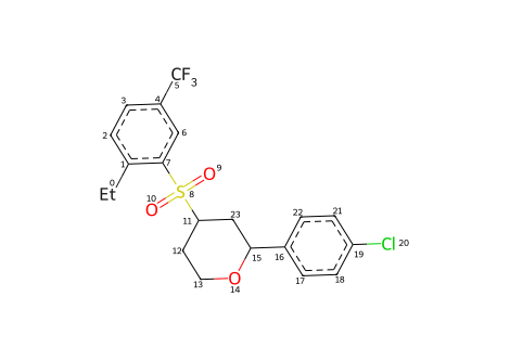 CCc1ccc(C(F)(F)F)cc1S(=O)(=O)C1CCOC(c2ccc(Cl)cc2)C1